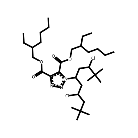 CCCCC(CC)COC(=O)c1nnn(C(CC(Cl)CC(C)(C)C)CC(Cl)C(C)(C)C)c1C(=O)OCC(CC)CCCC